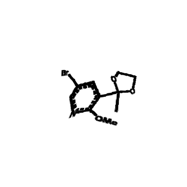 COc1ncc(Br)cc1C1(C)OCCO1